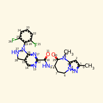 Cc1cc2n(n1)CC[C@H](NC(=O)c1ncc3c(n1)N(c1c(F)cccc1F)NC3)C(=O)N2C